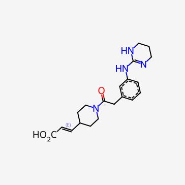 O=C(O)/C=C/C1CCN(C(=O)Cc2cccc(NC3=NCCCN3)c2)CC1